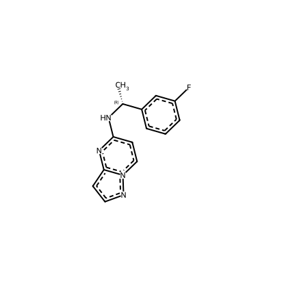 C[C@@H](Nc1ccn2nccc2n1)c1cccc(F)c1